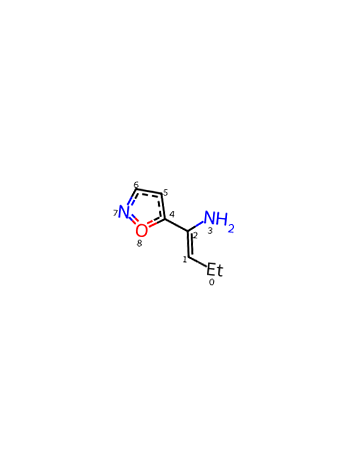 CC/C=C(\N)c1ccno1